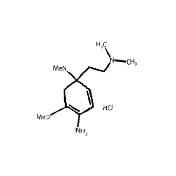 CNC1(CCN(C)C)C=CC(N)=C(OC)C1.Cl